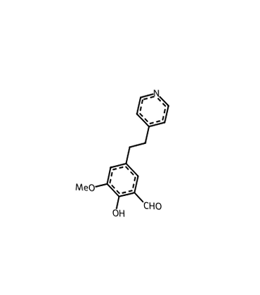 COc1cc(CCc2ccncc2)cc(C=O)c1O